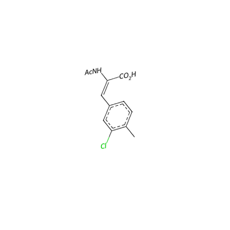 CC(=O)N/C(=C/c1ccc(C)c(Cl)c1)C(=O)O